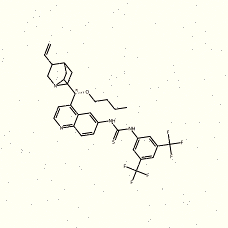 C=CC1CN2CCC1CC2[C@H](OCCCC)c1ccnc2ccc(NC(=S)Nc3cc(C(F)(F)F)cc(C(F)(F)F)c3)cc12